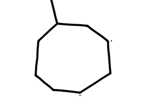 CC1C[CH]C[CH]CCC1